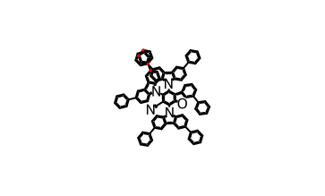 N#Cc1c(-n2c3ccc(-c4ccccc4)cc3c3cc(-c4ccccc4)ccc32)c(-n2c3ccc(-c4ccccc4)cc3c3cc(-c4ccccc4)ccc32)c2c(oc3c(-c4ccccc4)cccc32)c1-n1c2ccc(-c3ccccc3)cc2c2cc(-c3ccccc3)ccc21